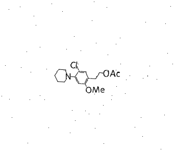 COc1cc(N2CCCCC2)c(Cl)cc1CCOC(C)=O